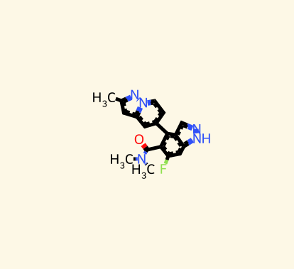 Cc1cc2cc(-c3c(C(=O)N(C)C)c(F)cc4[nH]ncc34)ccn2n1